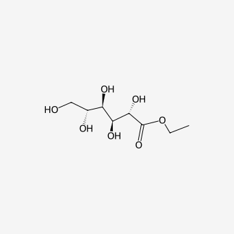 CCOC(=O)[C@@H](O)[C@@H](O)[C@H](O)[C@H](O)CO